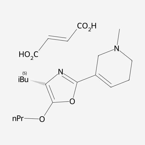 CCCOc1oc(C2=CCCN(C)C2)nc1[C@@H](C)CC.O=C(O)C=CC(=O)O